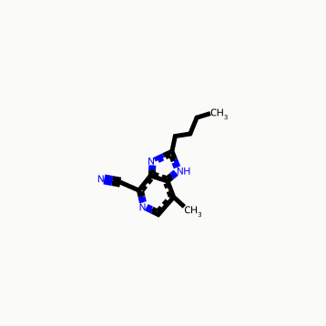 CCCCc1nc2c(C#N)ncc(C)c2[nH]1